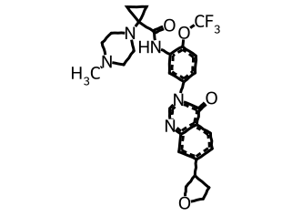 CN1CCN(C2(C(=O)Nc3cc(-n4cnc5cc(C6CCOC6)ccc5c4=O)ccc3OC(F)(F)F)CC2)CC1